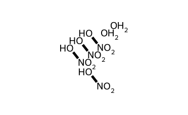 O.O.O=[N+]([O-])O.O=[N+]([O-])O.O=[N+]([O-])O.O=[N+]([O-])O